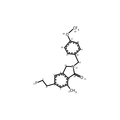 Cc1cc(CCF)cc2c1C(=O)N(Cc1ccc(OC(F)(F)F)cc1)C2